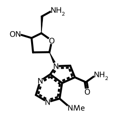 CNc1ncnc2c1c(C(N)=O)cn2[C@H]1CC(N=O)[C@@H](CN)O1